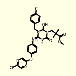 COC(=O)C(C)(C)CN1C(=O)N/C(=N\c2ccc(Oc3cnc(Cl)cn3)cc2)N(Cc2ccc(Cl)cc2)C1O